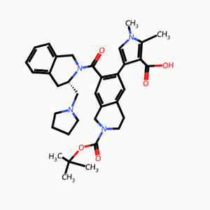 Cc1c(C(=O)O)c(-c2cc3c(cc2C(=O)N2Cc4ccccc4C[C@H]2CN2CCCC2)CN(C(=O)OC(C)(C)C)CC3)cn1C